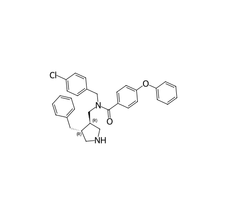 O=C(c1ccc(Oc2ccccc2)cc1)N(Cc1ccc(Cl)cc1)C[C@H]1CNC[C@@H]1Cc1ccccc1